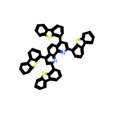 c1ccc2c(c1)sc1c(-c3cc(-c4cccc5c4sc4ccccc45)c4ccc5c(-c6cccc7c6sc6ccccc67)cc(-c6cccc7c6sc6ccccc67)nc5c4n3)cccc12